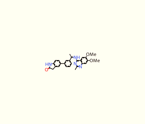 COc1cc2nc(C)nc(N[C@H](C)c3cccc(-c4ccc5c(c4)CC(=O)N5)c3)c2cc1OC